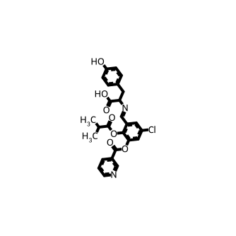 CC(C)C(=O)Oc1c(C=NC(Cc2ccc(O)cc2)C(=O)O)cc(Cl)cc1OC(=O)c1cccnc1